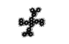 c1ccc(-n2c3ccccc3c3cc(-c4ccc5c(-c6ccc(-c7cccc8ccccc78)cc6)c6cc(-c7ccc8c(c7)c7ccccc7n8-c7ccccc7)ccc6c(-c6ccc(-c7cccc8ccccc78)cc6)c5c4)ccc32)cc1